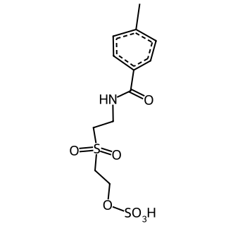 Cc1ccc(C(=O)NCCS(=O)(=O)CCOS(=O)(=O)O)cc1